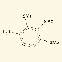 CSc1ccc(N)c(SC)c1SC